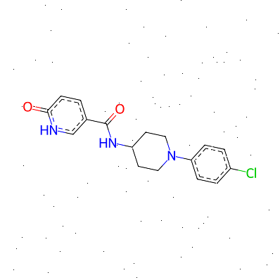 O=C(NC1CCN(c2ccc(Cl)cc2)CC1)c1ccc(=O)[nH]c1